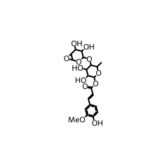 COc1cc(/C=C/C(=O)OC2OC(C)C(OC3OC4OC4C(O)C3O)C(O)C2O)ccc1O